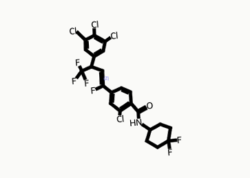 O=C(NC1CCC(F)(F)CC1)c1ccc(/C(F)=C/C(c2cc(Cl)c(Cl)c(Cl)c2)C(F)(F)F)cc1Cl